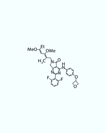 CC/C(=C\C(OC)=C(/C)CN1Cc2nc(-c3c(F)cccc3F)nc(Nc3ccc(OC4COC4)cc3)c2C1=O)OC